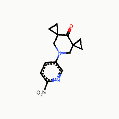 O=C1C2(CC2)CN(c2ccc([N+](=O)[O-])nc2)CC12CC2